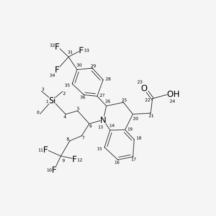 C[Si](C)(C)CCC(CCC(F)(F)F)N1c2ccccc2C(CC(=O)O)CC1c1ccc(C(F)(F)F)cc1